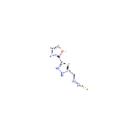 S=C=NCc1cc(-c2ncco2)n[nH]1